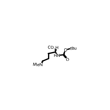 CNCCCC(NC(=O)OC(C)(C)C)C(=O)O